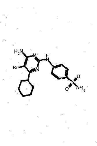 Nc1nc(Nc2ccc(S(N)(=O)=O)cc2)nc(C2CCCCC2)c1Br